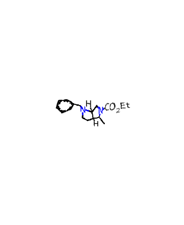 CCOC(=O)N1C[C@@H]2[C@@H](CCN2Cc2ccccc2)C1C